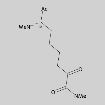 CNC(=O)C(=O)CCCC[C@H](NC)C(C)=O